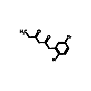 CCC(=O)CC(=O)Cc1cc(Br)ccc1Br